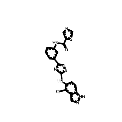 O=C(Nc1cccc(-c2nsc(Nc3ccc4[nH]ncc4c3Cl)n2)c1)c1cncs1